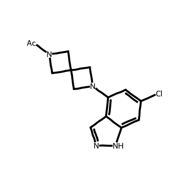 CC(=O)N1CC2(C1)CN(c1cc(Cl)cc3[nH]ncc13)C2